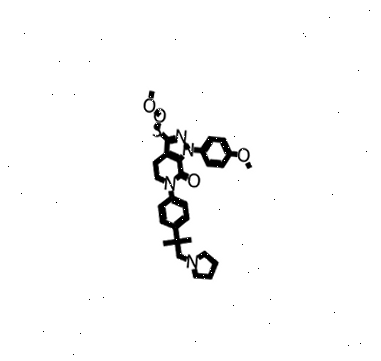 COOSc1nn(-c2ccc(OC)cc2)c2c1CCN(c1ccc(C(C)(C)CN3CCCC3)cc1)C2=O